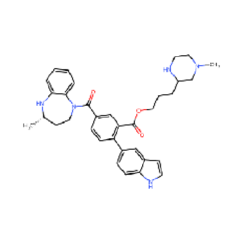 C[C@H]1CCN(C(=O)c2ccc(-c3ccc4[nH]ccc4c3)c(C(=O)OCCCC3CN(C)CCN3)c2)c2ccccc2N1